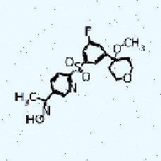 COC1(c2cc(F)cc(S(=O)(=O)c3ccc(C(C)=NO)cn3)c2)CCOCC1